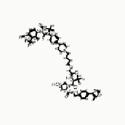 Cc1ncsc1-c1ccc(CNC(=O)[C@@H]2C[C@@H](O)CN2C(=O)[C@@H](NC(=O)COCCCCN2CCC(c3ccc(N(C(=S)N(C=O)c4ccc(C#N)c(C(F)(F)F)c4F)C(C)(C)C)cn3)CC2)C(C)(C)C)cc1